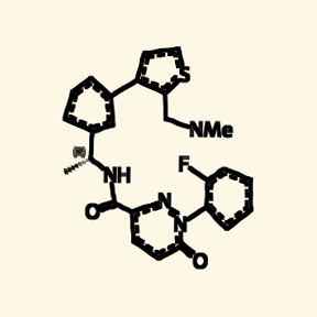 CNCc1sccc1-c1cccc([C@@H](C)NC(=O)c2ccc(=O)n(-c3ccccc3F)n2)c1